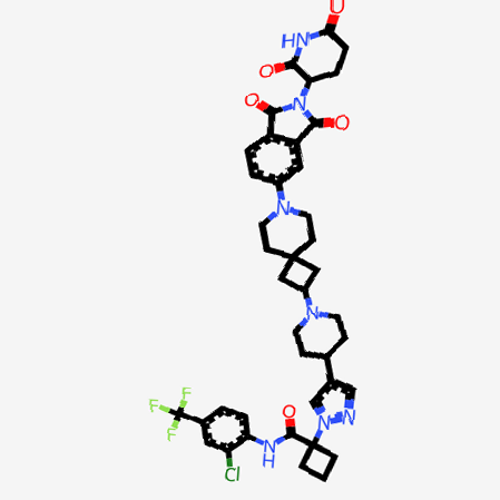 O=C1CCC(N2C(=O)c3ccc(N4CCC5(CC4)CC(N4CCC(c6cnn(C7(C(=O)Nc8ccc(C(F)(F)F)cc8Cl)CCC7)c6)CC4)C5)cc3C2=O)C(=O)N1